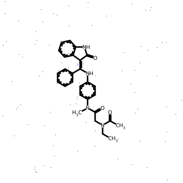 CCN(CC(=O)N(C)c1ccc(N/C(=C2\C(=O)Nc3ccccc32)c2ccccc2)cc1)C(C)=O